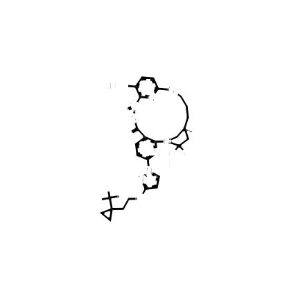 Cc1ccc2nc1S(=O)(=O)NC(=O)c1ccc(-n3ccc(OCCC4(C(F)(F)F)CC4)n3)nc1N1C[C@H](CCCN2)CC1(C)C